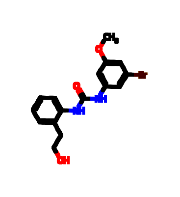 COc1cc(Br)cc(NC(=O)Nc2ccccc2CCO)c1